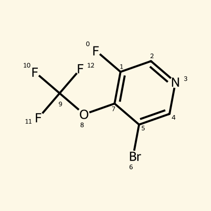 Fc1cncc(Br)c1OC(F)(F)F